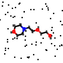 [O]CCOCCN1CCOCC1